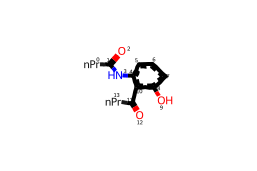 CCCC(=O)Nc1cccc(O)c1C(=O)CCC